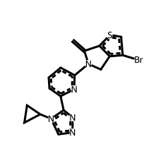 C=C1c2scc(Br)c2CN1c1cccc(-c2nncn2C2CC2)n1